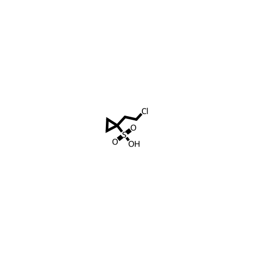 O=S(=O)(O)C1(CCCl)CC1